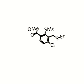 CCSCc1c(Cl)ccc(C(=O)OC)c1SC